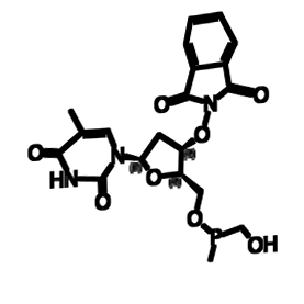 Cc1cn([C@H]2C[C@@H](ON3C(=O)c4ccccc4C3=O)[C@@H](COP(C)CO)O2)c(=O)[nH]c1=O